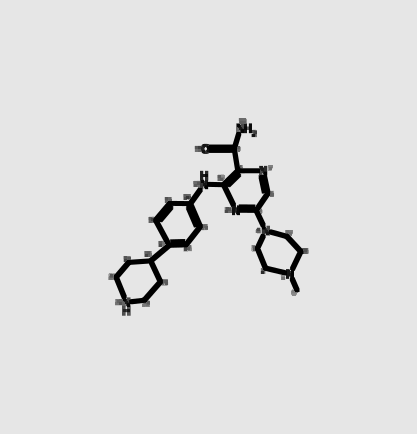 CN1CCN(c2cnc(C(N)=O)c(Nc3ccc(C4CCNCC4)cc3)n2)CC1